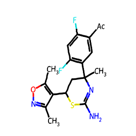 CC(=O)c1cc(C2(C)CC(c3c(C)noc3C)SC(N)=N2)c(F)cc1F